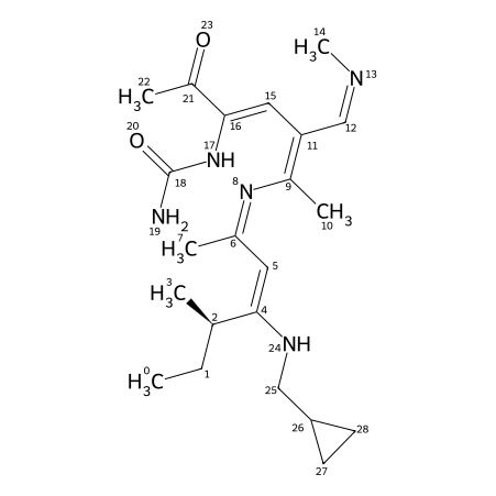 CC[C@@H](C)/C(=C\C(C)=N/C(C)=C(/C=N\C)\C=C(/NC(N)=O)C(C)=O)NCC1CC1